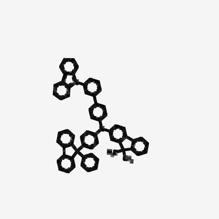 CC1(C)c2ccccc2-c2ccc(N(c3ccc(-c4cccc(-n5c6ccccc6c6ccccc65)c4)cc3)c3ccc(C4(c5ccccc5)c5ccccc5-c5ccccc54)cc3)cc21